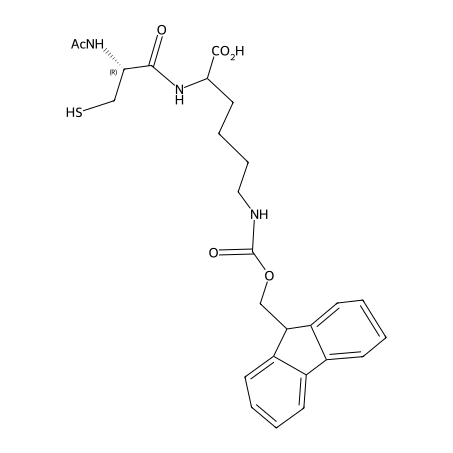 CC(=O)N[C@@H](CS)C(=O)NC(CCCCNC(=O)OCC1c2ccccc2-c2ccccc21)C(=O)O